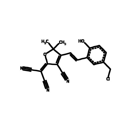 CC1(C)OC(=C(C#N)C#N)C(C#N)=C1/C=C/c1cc(CCl)ccc1O